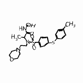 Cc1ccc(Sc2ccc(S(=O)(=O)N(CCN3CCOCC3)C(C)C(=O)NO)cc2)cc1